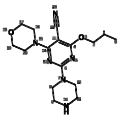 CCCOc1nc(N2CCNCC2)nc(N2CCOCC2)c1C#N